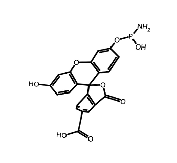 NP(O)Oc1ccc2c(c1)Oc1cc(O)ccc1C21OC(=O)c2cc(C(=O)O)ccc21